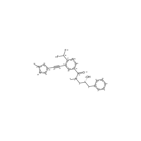 CN(C[C@H](O)Cc1ccccc1)C(=O)c1cnc(C(F)F)c(C#Cc2cnn(C)c2)c1